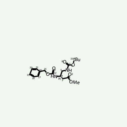 COC(=O)C[C@H](CNC(=O)OC(C)(C)C)NC(=O)OCc1ccccc1